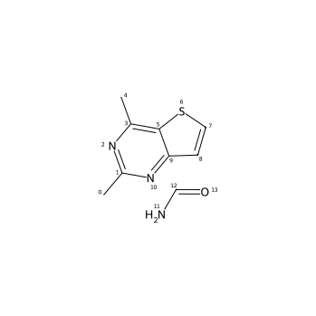 Cc1nc(C)c2sccc2n1.NC=O